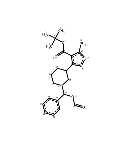 CC(C)(C)OC(=O)c1c(C2CCCN(C(OC=O)c3ccccc3)C2)nsc1N